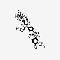 CCNC(=O)Nc1ncnc2c1nc(CO)n2-c1ccc(NC(=O)Nc2ccc(Cl)c(C(F)(F)F)c2)cc1